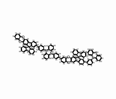 c1cc(-c2ccc3c(c2)C2(c4ccccc4-c4ccccc42)c2cc4c(cc2-3)Oc2ccc(-c3ccc(N5c6ccccc6N(c6ccc(-c7ccc8c(c7)C7(c9ccccc9-c9ccccc97)c7cc9c(cc7-8)Oc7ccccc7O9)cc6)c6ccccc65)cc3)cc2O4)cc(N2c3ccccc3Sc3ccccc32)c1